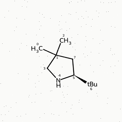 CC1(C)CN[C@H](C(C)(C)C)C1